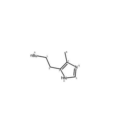 CCCCCCc1[nH]cnc1C